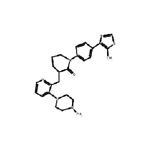 Cc1ocnc1-c1ccc(N2CCCC(Cc3ncccc3N3CCN(C)CC3)C2=O)cc1